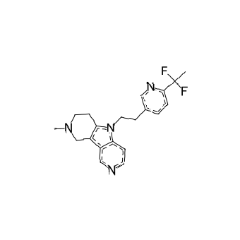 CN1CCc2c(c3cnccc3n2CCc2ccc(C(C)(F)F)nc2)C1